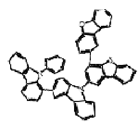 C1=Cc2c(c3cccc(-c4ccc5c(c4)c4ccccc4n5-c4cc(-c5ccc6oc7ccccc7c6c5)c5sc6ccccc6c5c4)c3n2-c2ccccc2)CC1